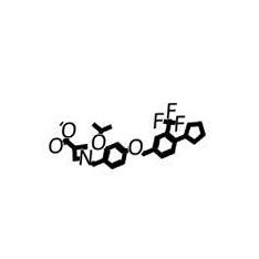 COC(=O)C1CN(Cc2ccc(OCc3ccc(C4CCCC4)c(C(F)(F)F)c3)cc2OC(C)C)C1